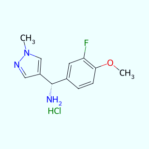 COc1ccc([C@H](N)c2cnn(C)c2)cc1F.Cl